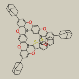 c1ccc2c3c(sc2c1)B1c2cc4c(cc2Oc2cc(C56CC7CC(CC(C7)C5)C6)cc(c21)O3)Oc1cc(C23CC5CC(CC(C5)C2)C3)cc2c1B4c1cc3c(cc1O2)Oc1cc(C24CC5CC(CC(C5)C2)C4)cc2c1B3c1sc3ccccc3c1O2